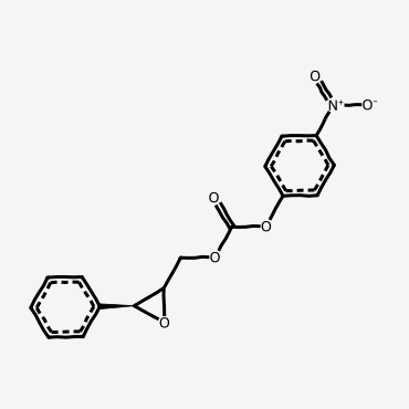 O=C(OCC1O[C@H]1c1ccccc1)Oc1ccc([N+](=O)[O-])cc1